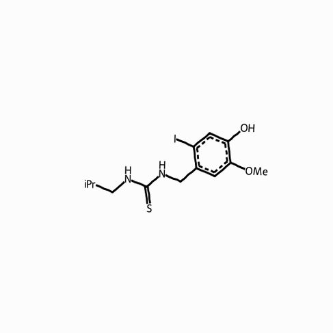 COc1cc(CNC(=S)NCC(C)C)c(I)cc1O